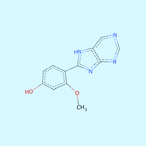 COc1cc(O)ccc1-c1nc2ncncc2[nH]1